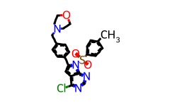 Cc1ccc(S(=O)(=O)n2c(-c3ccc(CN4CCOCC4)cc3)cc3c(Cl)ncnc32)cc1